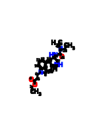 CCOC(=O)CCn1cc2c3c(cccc31)C1=CC(NC(=O)N(CC)CC)CN[C@@H]1C2